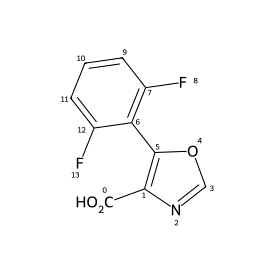 O=C(O)c1ncoc1-c1c(F)cccc1F